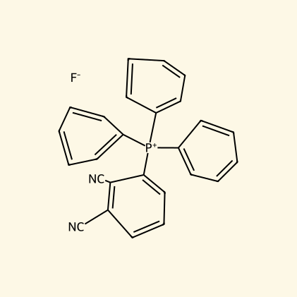 N#Cc1cccc([P+](c2ccccc2)(c2ccccc2)c2ccccc2)c1C#N.[F-]